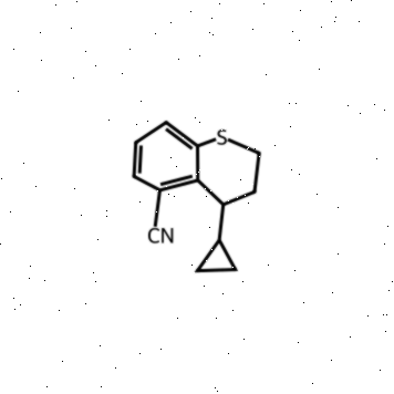 N#Cc1cccc2c1C(C1CC1)CCS2